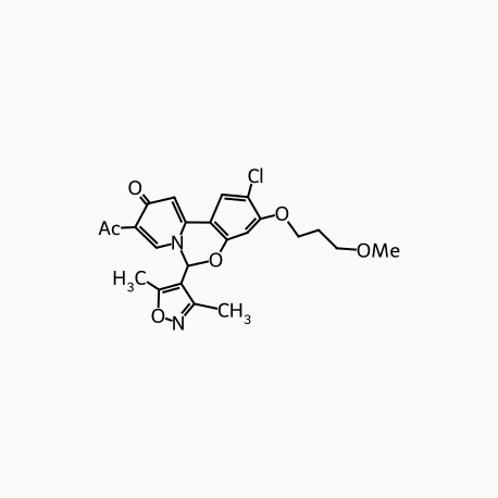 COCCCOc1cc2c(cc1Cl)-c1cc(=O)c(C(C)=O)cn1C(c1c(C)noc1C)O2